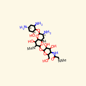 CNCC(=O)NC1C(CO)OC(OC2O[C@H]3C[C@H](N)C(OC4C(N)C[C@@H](N)C[C@H]4O)OC3C(O)C2NC)C(O)C1O